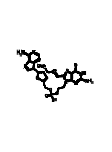 Nc1nc2c(nc(COCP=O)n2CCOP(=O)(S)OC[C@@H]2CC[C@H](n3cnc4c(N)ncnc43)O2)c(=O)[nH]1